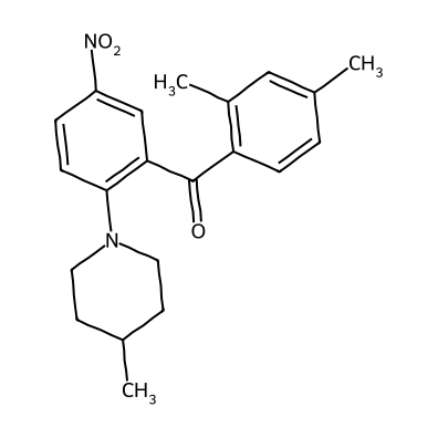 Cc1ccc(C(=O)c2cc([N+](=O)[O-])ccc2N2CCC(C)CC2)c(C)c1